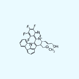 COCC1c2c(n3c4ccccc4c4cccc2c43)-c2c3c(F)c(F)c(F)c(F)c3nc[n+]2C1/C=C/CO